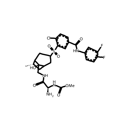 COC(=O)N[C@@H](N)C(=O)NC[C@@]1(O)C2CC(S(=O)(=O)c3cc(C(=O)Nc4ccc(F)c(F)c4)ccc3Cl)CC1[C@@H](C)C2